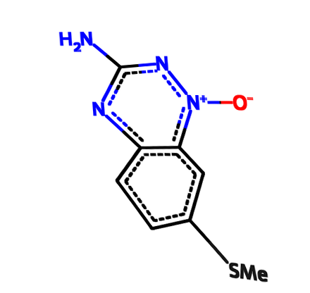 CSc1ccc2nc(N)n[n+]([O-])c2c1